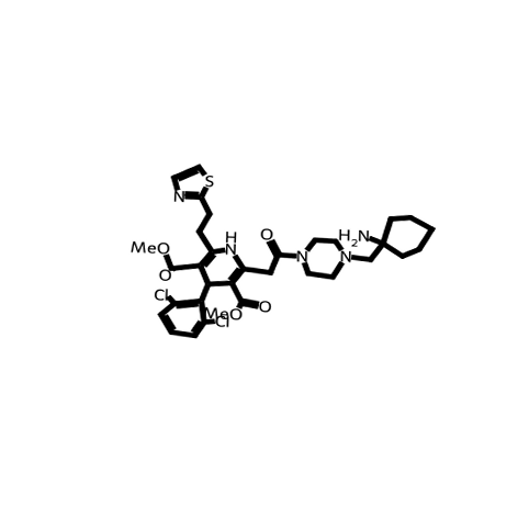 COC(=O)C1=C(CCc2nccs2)NC(CC(=O)N2CCN(CC3(N)CCCCC3)CC2)=C(C(=O)OC)C1c1c(Cl)cccc1Cl